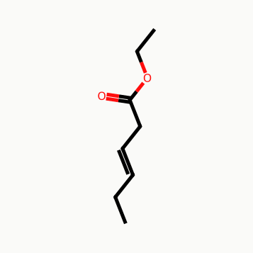 CCC=CCC(=O)OCC